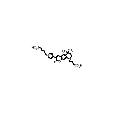 CC1(C)CCN(CCCC(=O)O)c2cc3oc(=O)c(-c4cc[n+](CCCCS(=O)(=O)O)cc4)cc3cc21